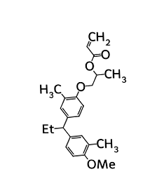 C=CC(=O)OC(C)COc1ccc(C(CC)c2ccc(OC)c(C)c2)cc1C